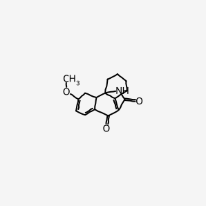 COC1=CC=C2C(=O)C3=C4CCCCC4(NC3=O)C2C1